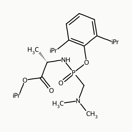 CC(C)OC(=O)[C@H](C)NP(=O)(CN(C)C)Oc1c(C(C)C)cccc1C(C)C